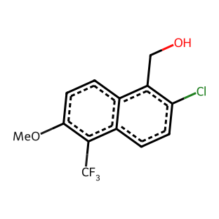 COc1ccc2c(CO)c(Cl)ccc2c1C(F)(F)F